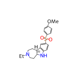 CCN1CCC2Nc3ccc(S(=O)(=O)c4ccc(OC)cc4)cc3[C@@H]2CC1